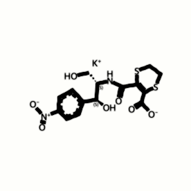 O=C([O-])C1=C(C(=O)N[C@@H](CO)[C@@H](O)c2ccc([N+](=O)[O-])cc2)SCCS1.[K+]